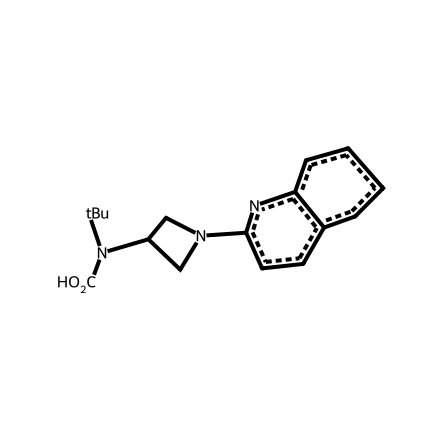 CC(C)(C)N(C(=O)O)C1CN(c2ccc3ccccc3n2)C1